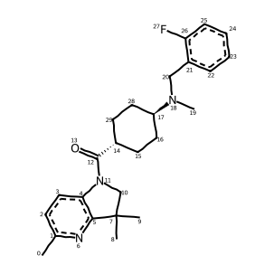 Cc1ccc2c(n1)C(C)(C)CN2C(=O)[C@H]1CC[C@H](N(C)Cc2ccccc2F)CC1